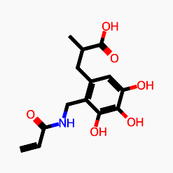 C=CC(=O)NCc1c(CC(C)C(=O)O)cc(O)c(O)c1O